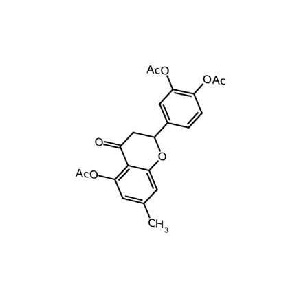 CC(=O)Oc1ccc(C2CC(=O)c3c(OC(C)=O)cc(C)cc3O2)cc1OC(C)=O